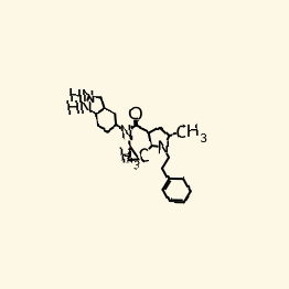 CC1CC(C(=O)N(C2CC2)C2CCC3NNCC3C2)C(C)N1CCC1=CC=CCC1